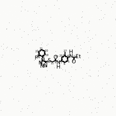 CCC(=O)Nc1ccc(NC(=O)CSc2nnnn2-c2ccccc2F)cc1C